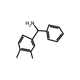 Cc1ccc(C(N)c2ccccc2)cc1C